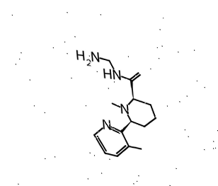 C=C(NCN)[C@H]1CCC[C@@H](c2ncccc2C)N1C